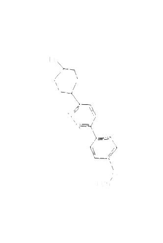 CCCCOc1ccc(-c2ccc(C3CCC(CCC)CC3)nn2)cc1